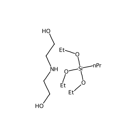 CCC[Si](OCC)(OCC)OCC.OCCNCCO